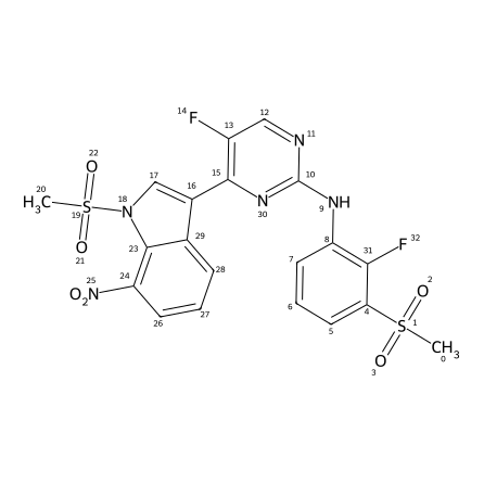 CS(=O)(=O)c1cccc(Nc2ncc(F)c(-c3cn(S(C)(=O)=O)c4c([N+](=O)[O-])cccc34)n2)c1F